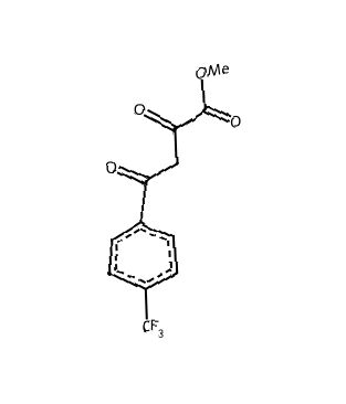 COC(=O)C(=O)CC(=O)c1ccc(C(F)(F)F)cc1